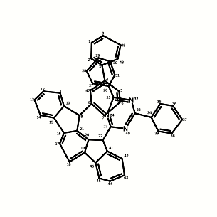 c1ccc(-c2cccc(C3c4ccccc4-c4ccc5c(c43)C(c3nc(-c4ccccc4)nc(-c4ccccc4)n3)c3ccccc3-5)c2)cc1